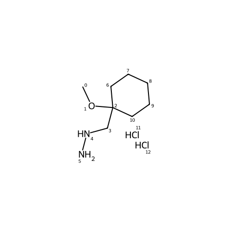 COC1(CNN)CCCCC1.Cl.Cl